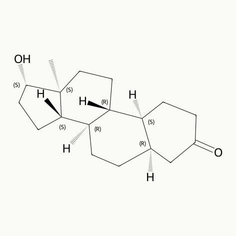 C[C@]12CC[C@H]3[C@@H](CC[C@@H]4CC(=O)CC[C@@H]43)[C@@H]1CC[C@@H]2O